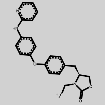 CCN1C(=O)OC[C@@H]1Cc1ccc(Oc2ccc(Nc3ccccn3)cc2)cc1